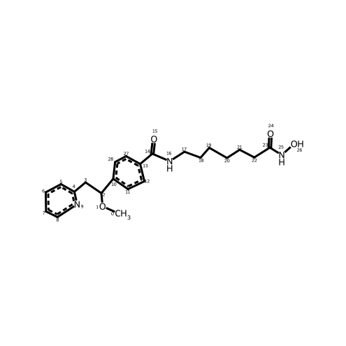 COC(Cc1ccccn1)c1ccc(C(=O)NCCCCCCC(=O)NO)cc1